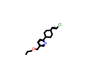 CCCOCc1ccc(C2CCC(/C=C/Cl)CC2)nc1